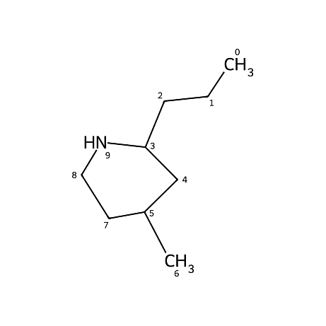 CCCC1CC(C)CCN1